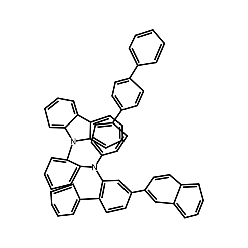 c1ccc(-c2ccc(-c3ccc(N(c4cc(-c5ccc6ccccc6c5)ccc4-c4ccccc4)c4ccccc4-n4c5ccccc5c5ccccc54)cc3)cc2)cc1